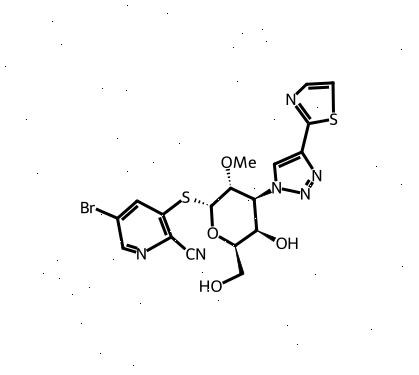 CO[C@@H]1[C@@H](n2cc(-c3nccs3)nn2)[C@@H](O)[C@@H](CO)O[C@@H]1Sc1cc(Br)cnc1C#N